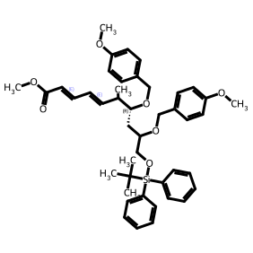 COC(=O)/C=C/C=C/C(C)[C@@H](CC(CO[Si](c1ccccc1)(c1ccccc1)C(C)(C)C)OCc1ccc(OC)cc1)OCc1ccc(OC)cc1